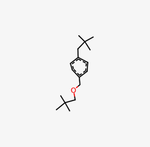 CC(C)(C)COCc1ccc(CC(C)(C)C)cc1